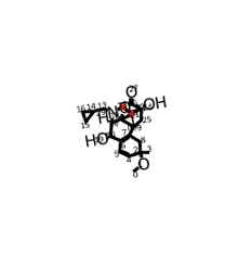 COC1(C)C=CC2=C(C1)[C@]13CCN(CC4CC4)[C@H]([C@@H]2O)C12CC[C@](O)(C3)C(=O)O2